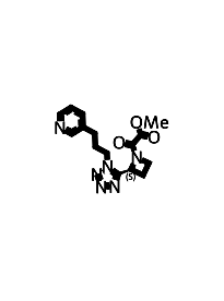 COC(=O)C(=O)N1CC[C@H]1c1nnnn1CCCc1cccnc1